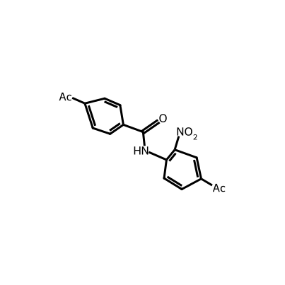 CC(=O)c1ccc(C(=O)Nc2ccc(C(C)=O)cc2[N+](=O)[O-])cc1